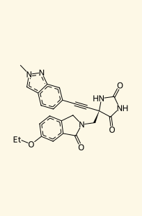 CCOc1ccc2c(c1)C(=O)N(C[C@@]1(C#Cc3ccc4cn(C)nc4c3)NC(=O)NC1=O)C2